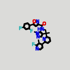 Cc1c(-c2cccc(C(C)(CNC(=O)c3cc(-c4ccc(F)cc4F)on3)c3cnn(C)c3)n2)ccnc1F